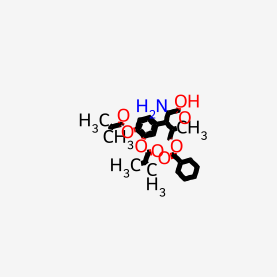 CC(C)C(=O)Oc1ccc(C(C(C)COC(=O)C2CCCCC2)[C@H](N)C(=O)O)cc1OC(=O)C(C)C